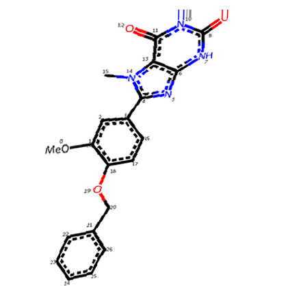 COc1cc(-c2nc3[nH]c(=O)[nH]c(=O)c3n2C)ccc1OCc1ccccc1